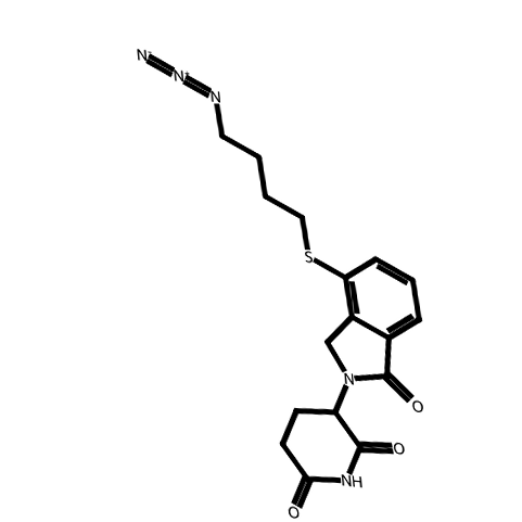 [N-]=[N+]=NCCCCSc1cccc2c1CN(C1CCC(=O)NC1=O)C2=O